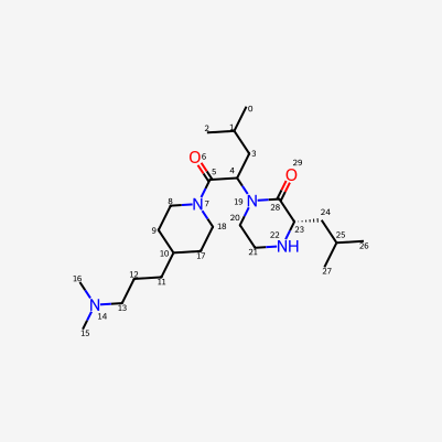 CC(C)CC(C(=O)N1CCC(CCCN(C)C)CC1)N1CCN[C@@H](CC(C)C)C1=O